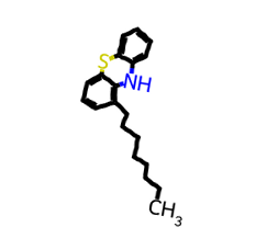 CCCCCCCCc1cccc2c1Nc1ccccc1S2